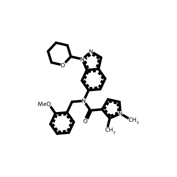 COc1ccccc1CN(C(=O)c1ccn(C)c1C)c1ccc2cnn(C3CCCCO3)c2c1